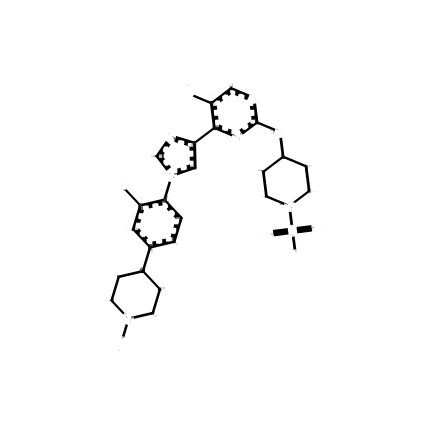 CCN1CCC(c2ccc(-n3cnc(-c4nc(NC5CCN(S(C)(=O)=O)CC5)ncc4C(F)(F)F)c3)c(Cl)c2)CC1